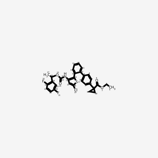 CCOC(=O)C1(c2ccc(-c3ccccc3-c3sc(Cl)cc3NC(=O)OC(C)c3cc(F)ccc3F)cc2)CC1